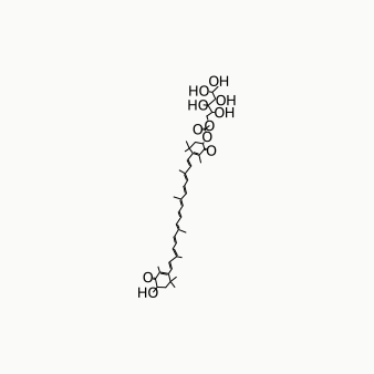 CC1=C(/C=C/C(C)=C/C=C/C(C)=C/C=C/C=C(C)/C=C/C=C(C)/C=C/C2=C(C)C(=O)C(OC(=O)OCC(O)C(O)C(O)C(O)CO)CC2(C)C)C(C)(C)CC(O)C1=O